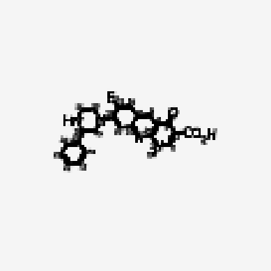 Cn1cc(C(=O)O)c(=O)c2cc3cc(F)c(N4CCNC(c5ccccc5)C4)cc3nc21